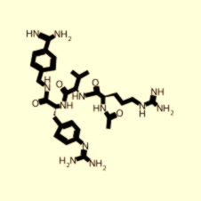 CC(=O)N[C@H](CCCNC(=N)N)C(=O)N[C@H](C(=O)N[C@H](Cc1ccc(N=C(N)N)cc1)C(=O)NCc1ccc(C(=N)N)cc1)C(C)C